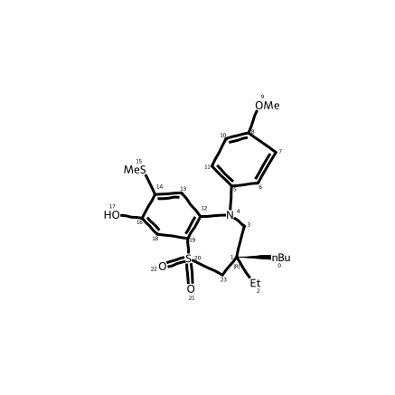 CCCC[C@]1(CC)CN(c2ccc(OC)cc2)c2cc(SC)c(O)cc2S(=O)(=O)C1